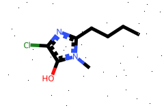 CCCCc1nc(Cl)c(O)n1C